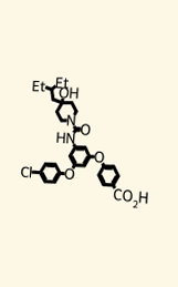 CCC(CC)CC1(O)CCN(C(=O)Nc2cc(Oc3ccc(Cl)cc3)cc(Oc3ccc(C(=O)O)cc3)c2)CC1